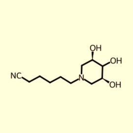 N#CCCCCCN1C[C@@H](O)C(O)[C@@H](O)C1